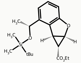 CCOC(=O)[C@H]1[C@@H]2Oc3cccc([C@@H](C)O[Si](C)(C)C(C)(C)C)c3[C@@H]21